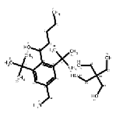 CCCCC(O)c1c(C(C)(C)C)cc(CN)cc1C(C)(C)C.OCC(CO)(CO)CO